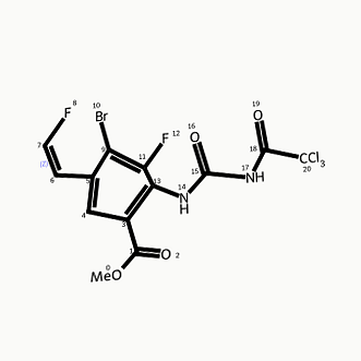 COC(=O)c1cc(/C=C\F)c(Br)c(F)c1NC(=O)NC(=O)C(Cl)(Cl)Cl